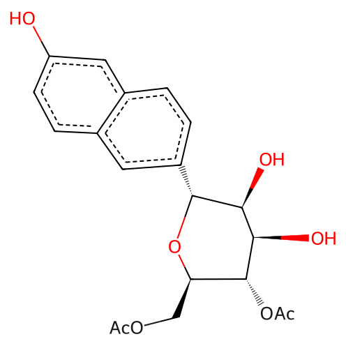 CC(=O)OC[C@H]1O[C@H](c2ccc3cc(O)ccc3c2)[C@@H](O)[C@@H](O)[C@@H]1OC(C)=O